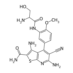 COc1ccc(-c2c(C#N)c(N)nc3sc(C(N)=O)c(N)c23)cc1NC(=O)C(N)CO